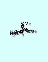 CCCCCCCCC(B(Cc1ccc(OC)cc1)Cc1ccc(OC)cc1)c1ccc(OC)cc1.C[N+](C)(C)C